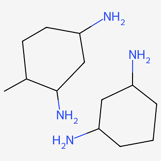 CC1CCC(N)CC1N.NC1CCCC(N)C1